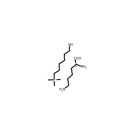 C[P+](C)(C)CCCCCCO.NCCCC[C@H](N)C(=O)[O-]